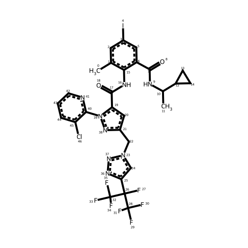 Cc1cc(I)cc(C(=O)NC(C)C2CC2)c1NC(=O)c1cc(Cn2cc(C(F)(C(F)(F)F)C(F)(F)F)nn2)nn1-c1ncccc1Cl